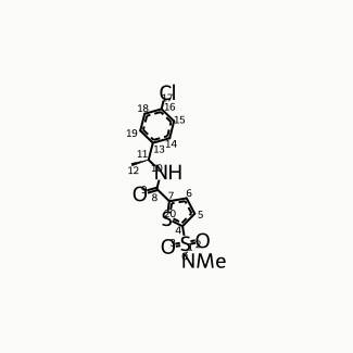 CNS(=O)(=O)c1ccc(C(=O)N[C@@H](C)c2ccc(Cl)cc2)s1